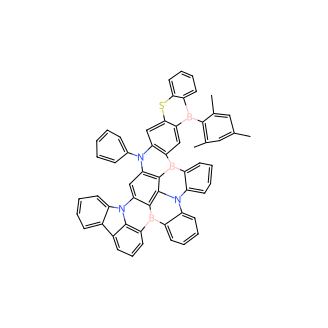 Cc1cc(C)c(B2c3ccccc3Sc3cc4c(cc32)B2c3ccccc3N3c5ccccc5B5c6c(cc(c2c63)N4c2ccccc2)-n2c3ccccc3c3cccc5c32)c(C)c1